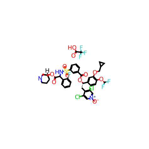 O=C(O)C(F)(F)F.O=C(O[C@@H](Cc1c(Cl)c[n+]([O-])cc1Cl)c1ccc(OC(F)F)c(OCC2CC2)c1)c1cccc(S(=O)(=O)NC(C(=O)O[C@H]2CN3CCC2CC3)c2ccccc2F)c1